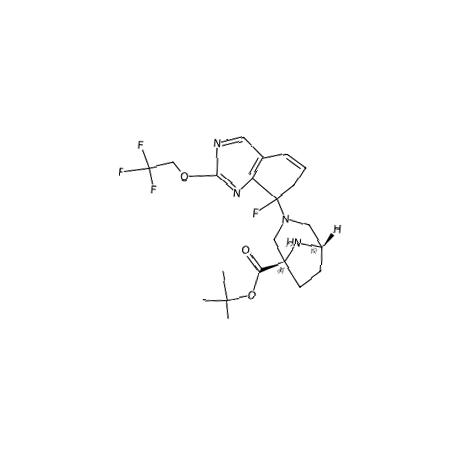 CC(C)(C)OC(=O)[C@@]12CC[C@@H](CN(C3(F)CC=Cc4cnc(OCC(F)(F)F)nc43)C1)N2